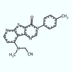 Cc1ccc(-n2cnc3c(sc4nccc(N(C)CC#N)c43)c2=O)cc1